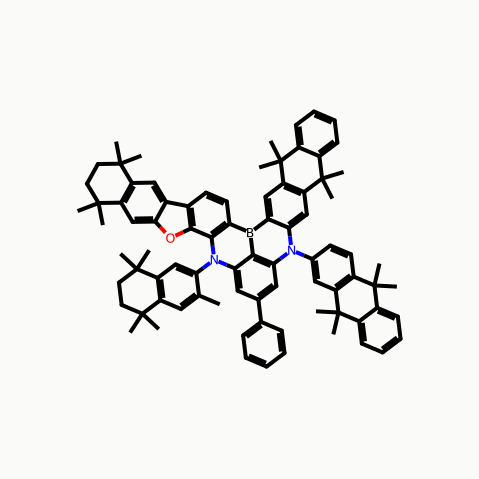 Cc1cc2c(cc1N1c3cc(-c4ccccc4)cc4c3B(c3cc5c(cc3N4c3ccc4c(c3)C(C)(C)c3ccccc3C4(C)C)C(C)(C)c3ccccc3C5(C)C)c3ccc4c(oc5cc6c(cc54)C(C)(C)CCC6(C)C)c31)C(C)(C)CCC2(C)C